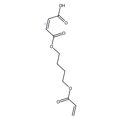 C=CC(=O)OCCCCOC(=O)/C=C\C(=O)O